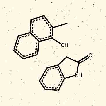 Cc1ccc2ccccc2c1O.O=C1Cc2ccccc2N1